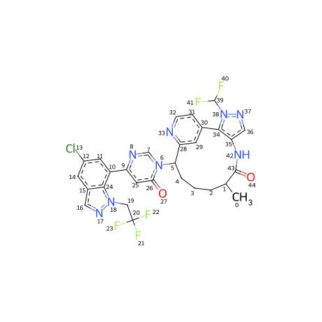 CC1CCCC(n2cnc(-c3cc(Cl)cc4cnn(CC(F)(F)F)c34)cc2=O)c2cc(ccn2)-c2c(cnn2C(F)F)NC1=O